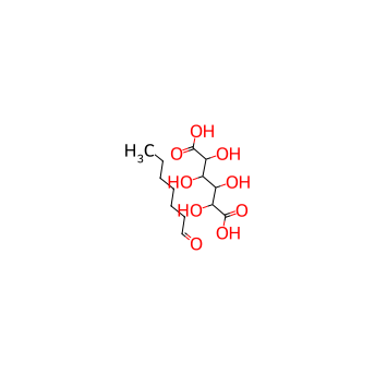 CCCCCCC=O.O=C(O)C(O)C(O)C(O)C(O)C(=O)O